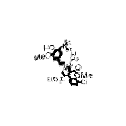 CCOC(=O)C1=CN(C=Cc2cc(CN(CC)CC)c(O)c(OC)c2)C(C)=C(C(=O)OC)C1c1cccc(Cl)c1